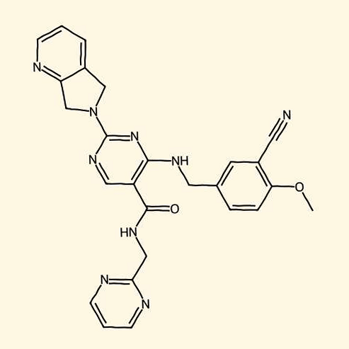 COc1ccc(CNc2nc(N3Cc4cccnc4C3)ncc2C(=O)NCc2ncccn2)cc1C#N